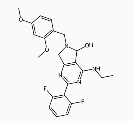 CCNc1nc(-c2c(F)cccc2F)nc2c1C(O)N(Cc1ccc(OC)cc1OC)C2